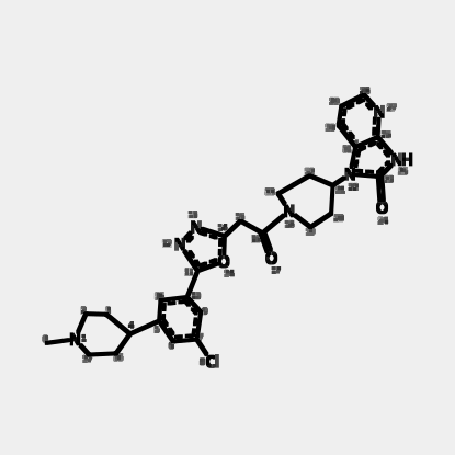 CN1CCC(c2cc(Cl)cc(-c3nnc(CC(=O)N4CCC(n5c(=O)[nH]c6ncccc65)CC4)o3)c2)CC1